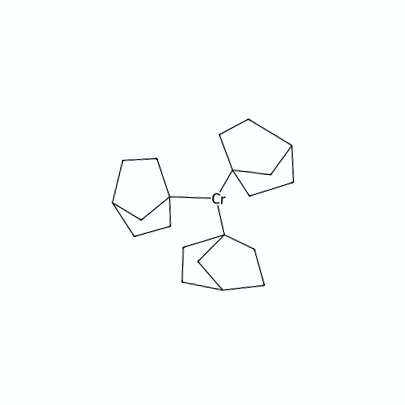 C1C[C]2([Cr]([C]34CCC(CC3)C4)[C]34CCC(CC3)C4)CCC1C2